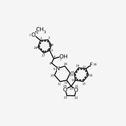 COc1ccc(C(O)CN2CCC(C3(c4ccc(F)cc4)OCCO3)CC2)cc1